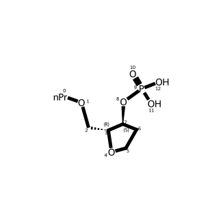 CCCOC[C@H]1OCC[C@@H]1OP(=O)(O)O